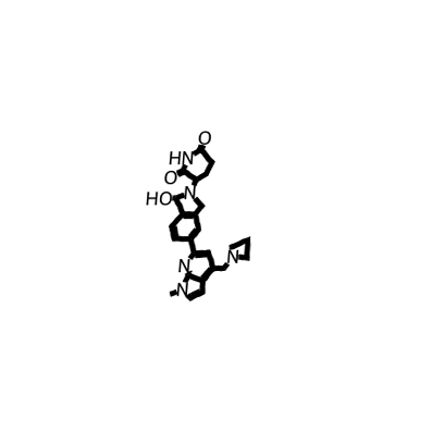 Cn1ccc2c(CN3CCC3)cc(-c3ccc4c(c3)CN(C3CCC(=O)NC3=O)C4O)nc21